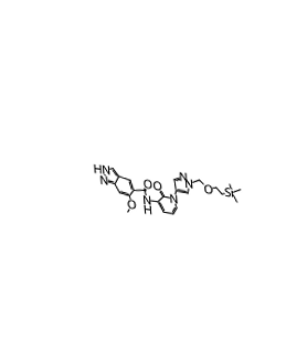 COc1cc2n[nH]cc2cc1C(=O)Nc1cccn(-c2cnn(COCC[Si](C)(C)C)c2)c1=O